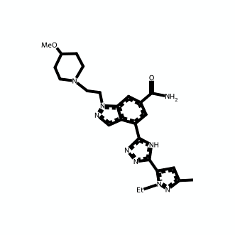 CCn1nc(C)cc1-c1nnc(-c2cc(C(N)=O)cc3c2cnn3CCN2CCC(OC)CC2)[nH]1